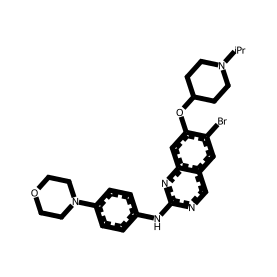 CC(C)N1CCC(Oc2cc3nc(Nc4ccc(N5CCOCC5)cc4)ncc3cc2Br)CC1